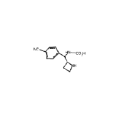 N#Cc1ccc(C(NC(=O)O)[C@@H]2CCN2)cc1